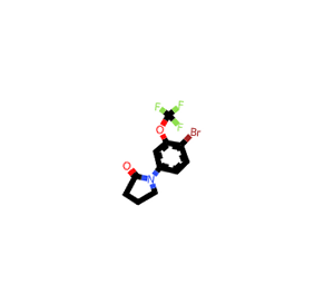 O=C1CCCN1c1ccc(Br)c(OC(F)(F)F)c1